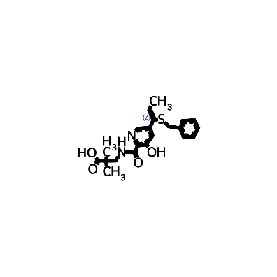 C/C=C(\SCc1ccccc1)c1cnc(C(=O)NCC(C)(C)C(=O)O)c(O)c1